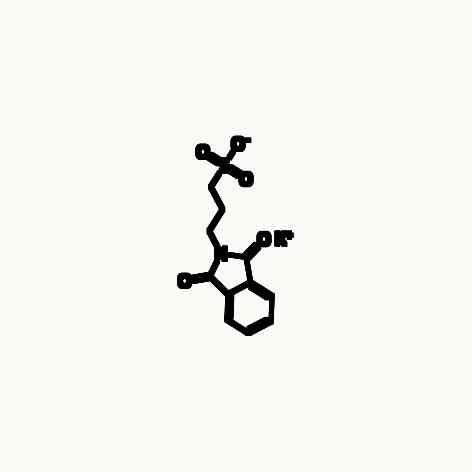 O=C1c2ccccc2C(=O)N1CCCS(=O)(=O)[O-].[K+]